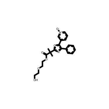 CC(C)(C(=O)OCCOCCO)c1nc(-c2ccccc2)c(-c2ccc[n+]([O-])c2)o1